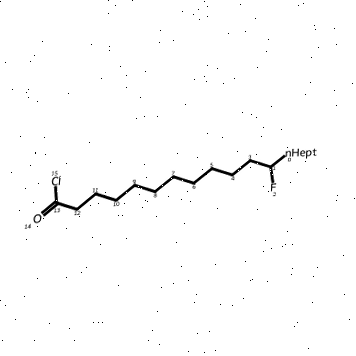 CCCCCCCC(F)CCCCCCCCCCC(=O)Cl